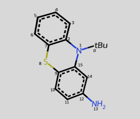 CC(C)(C)N1c2ccccc2Sc2ccc(N)cc21